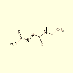 CCNC(=O)N=NC(N)=O